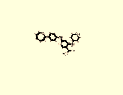 NC(=O)c1cnc(Nc2ccc(C3=C=CCC=CO3)cc2)cc1NC1CCNCC1